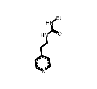 CCNC(=O)NCCc1ccncc1